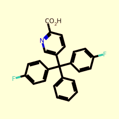 O=C(O)c1ccc(C(c2ccccc2)(c2ccc(F)cc2)c2ccc(F)cc2)cn1